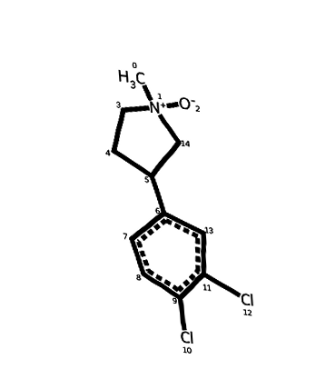 C[N+]1([O-])CCC(c2ccc(Cl)c(Cl)c2)C1